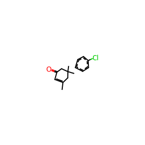 CC1=CC(=O)CC(C)(C)C1.Clc1ccccc1